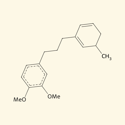 COc1ccc(CCCC2=CC(C)CC=C2)cc1OC